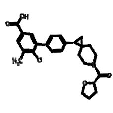 Cc1cc(C(=O)O)cc(-c2ccc([C@H]3CC34CCN(C(=O)[C@H]3CCCO3)CC4)cc2)c1Cl